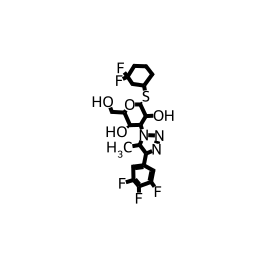 CC1C(c2cc(F)c(F)c(F)c2)N=NN1C1C(O)[C@@H](SC2CCCC(F)(F)C2)OC(CO)[C@@H]1O